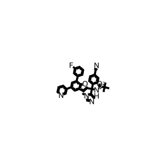 Cn1cncc1C(N[S+]([O-])C(C)(C)C)(c1ccc(C#N)cc1)c1cc2cc(-c3cccnc3)cc(-c3cccc(F)c3)c2o1